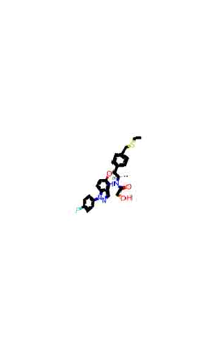 CCSCc1ccc([C@@H](Oc2ccc3c(cnn3-c3ccc(F)cc3)c2)[C@H](C)NC(=O)CO)cc1